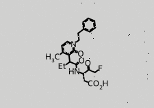 CCC(C(=O)NC(CC(=O)O)C(=O)CF)c1c(C)ccn(CCc2ccccc2)c1=O